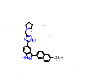 O=C(O)c1ccc2cc(-c3n[nH]c4ccc(-c5nc(CN6CCCC6)n[nH]5)cc34)ccc2c1